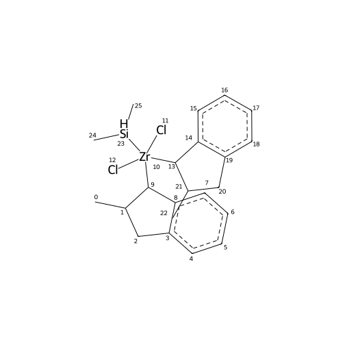 CC1Cc2ccccc2[CH]1[Zr]([Cl])([Cl])([CH]1c2ccccc2CC1C)[SiH](C)C